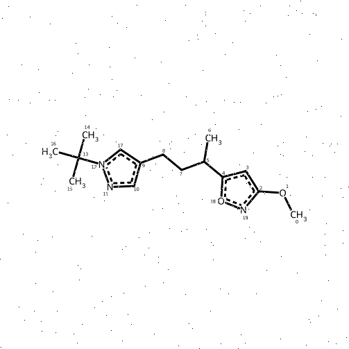 COc1cc(C(C)CCc2cnn(C(C)(C)C)c2)on1